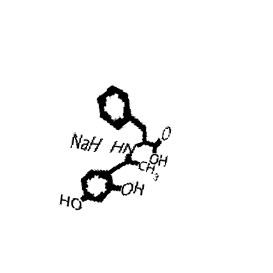 CC(NC(Cc1ccccc1)C(=O)O)c1ccc(O)cc1O.[NaH]